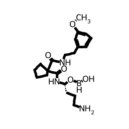 COc1cccc(CCNC(=O)C2(C(=O)N[C@@H](CCCN)OBO)CCCC2)c1